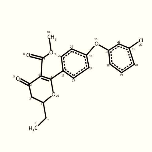 CCC1CC(=O)C(C(=O)OC)=C(c2ccc(Oc3cccc(Cl)c3)cc2)O1